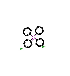 Cl.Cl.c1ccc([PH](c2ccccc2)(c2ccccc2)c2ccccc2)cc1